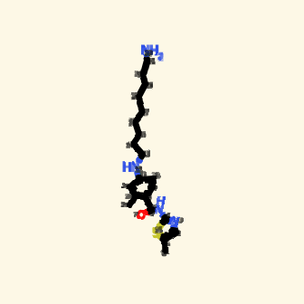 Cc1cnc(NC(=O)c2ccc(NCCCCCCCCCN)cc2C)s1